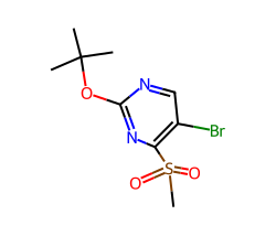 CC(C)(C)Oc1ncc(Br)c(S(C)(=O)=O)n1